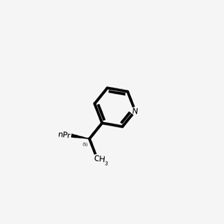 CCC[C@H](C)c1cccnc1